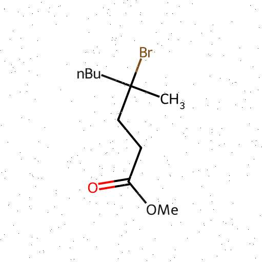 CCCCC(C)(Br)CCC(=O)OC